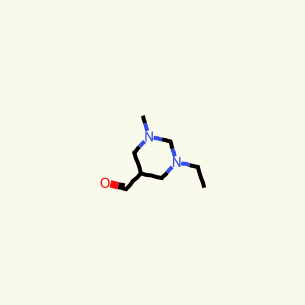 CCN1CC(C=O)CN(C)C1